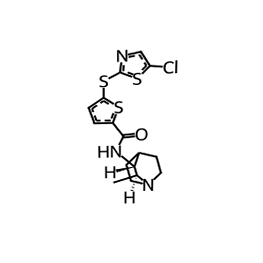 C[C@H]1[C@H](NC(=O)c2ccc(Sc3ncc(Cl)s3)s2)C2CCN1CC2